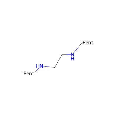 CCCC(C)NCCNC(C)CCC